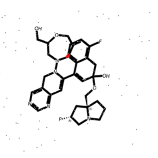 OCC1CN(N2Cc3cncnc3C=C2C2=CC(O)(OC[C@@]34CCCN3C[C@H](F)C4)Cc3c(F)cccc32)CCCO1